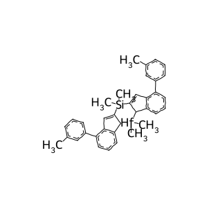 Cc1cccc(-c2cccc3c2C=C2[CH]3[Hf]([CH3])([CH3])[CH]3C(=Cc4c(-c5cccc(C)c5)cccc43)[Si]2(C)C)c1